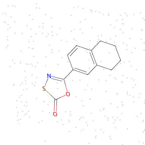 O=c1oc(-c2ccc3c(c2)CCCC3)ns1